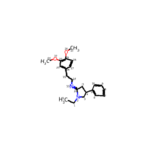 CCN1CC(c2ccccc2)CC1=NCCc1ccc(OC)c(OC)c1